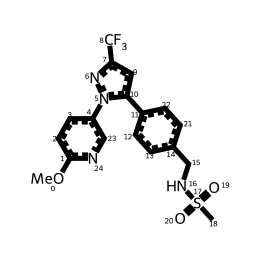 COc1ccc(-n2nc(C(F)(F)F)cc2-c2ccc(CNS(C)(=O)=O)cc2)cn1